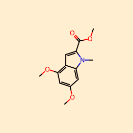 COC(=O)c1cc2c(OC)cc(OC)cc2n1C